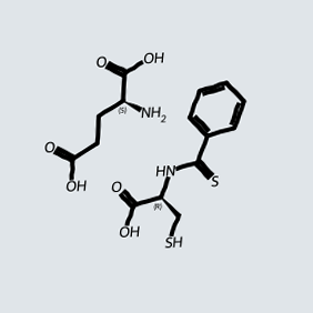 N[C@@H](CCC(=O)O)C(=O)O.O=C(O)[C@H](CS)NC(=S)c1ccccc1